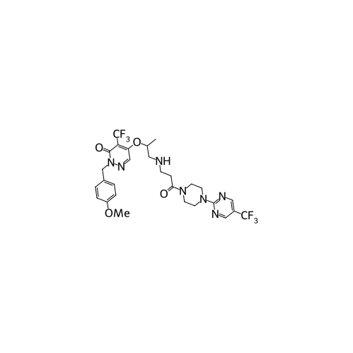 COc1ccc(Cn2ncc(OC(C)CNCCC(=O)N3CCN(c4ncc(C(F)(F)F)cn4)CC3)c(C(F)(F)F)c2=O)cc1